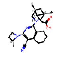 C[C@H]1CCN1c1nc(N2C[C@H]3C[C@@H](C2)[C@@H]3CC(=O)O)c2c(c1C#N)CCCC2